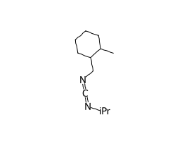 CC(C)N=C=NCC1CCCCC1C